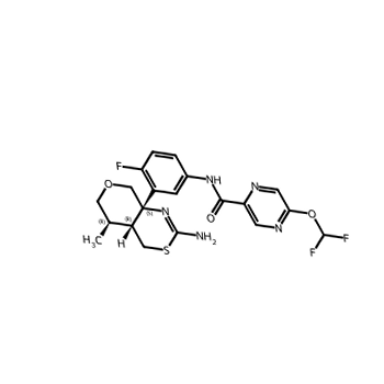 C[C@H]1COC[C@]2(c3cc(NC(=O)c4cnc(OC(F)F)cn4)ccc3F)N=C(N)SC[C@H]12